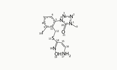 Cn1nnn(-c2cccc(I)c2CSC(/C=C\N)=N/O)c1=O